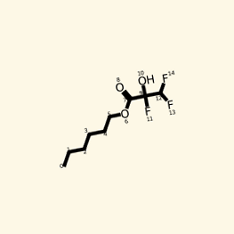 CCCCCCOC(=O)C(O)(F)C(F)F